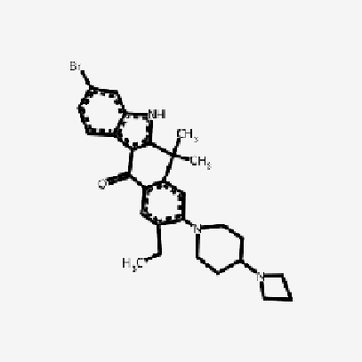 CCc1cc2c(cc1N1CCC(N3CCC3)CC1)C(C)(C)c1[nH]c3cc(Br)ccc3c1C2=O